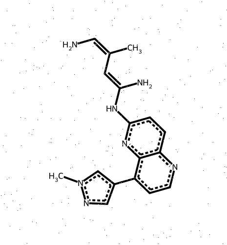 CC(=C/N)/C=C(\N)Nc1ccc2nccc(-c3cnn(C)c3)c2n1